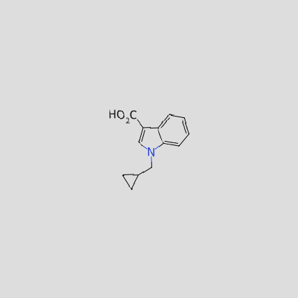 O=C(O)c1cn(CC2CC2)c2ccccc12